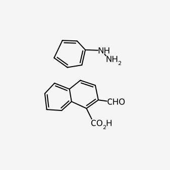 NNc1ccccc1.O=Cc1ccc2ccccc2c1C(=O)O